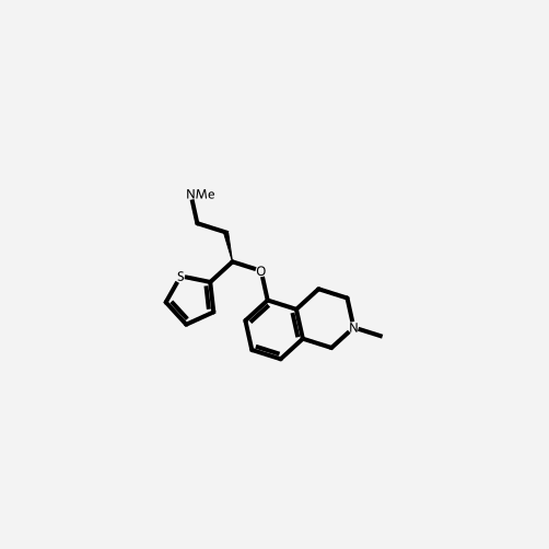 CNCC[C@@H](Oc1cccc2c1CCN(C)C2)c1cccs1